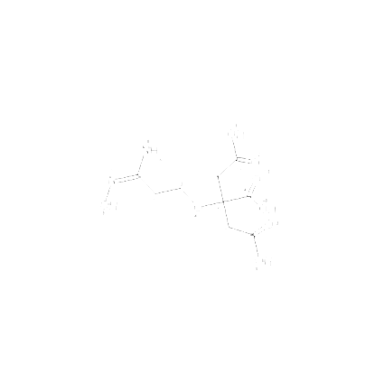 N/C(CCOC(CC(=O)O)(CC(=O)O)C(=O)O)=N/O